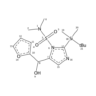 CN(C)S(=O)(=O)n1c(C(O)c2ccco2)cnc1[Si](C)(C)C(C)(C)C